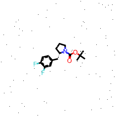 CC(C)(C)OC(=O)N1CCC[C@H]1Cc1ccc(F)c(F)c1